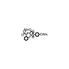 COC(=O)C1CN(C(=O)C(F)(F)F)c2ccccc2CN1S(=O)(=O)c1ccc(OC)cc1